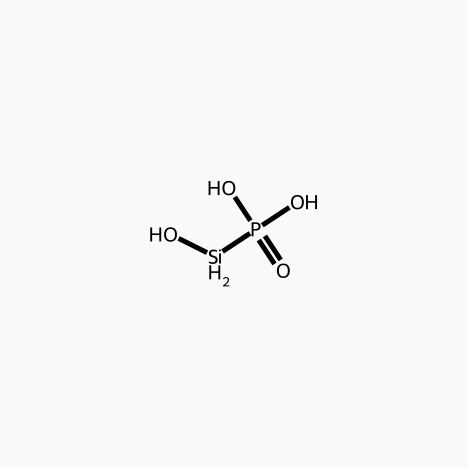 O=P(O)(O)[SiH2]O